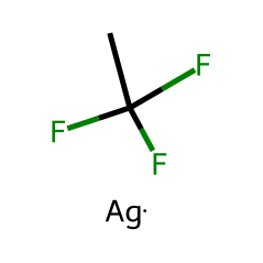 CC(F)(F)F.[Ag]